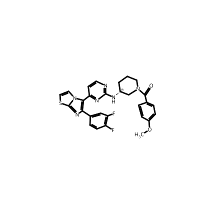 COc1ccc(C(=O)N2CCC[C@@H](Nc3nccc(-c4c(-c5ccc(F)c(F)c5)nc5sccn45)n3)C2)cc1